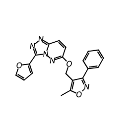 Cc1onc(-c2ccccc2)c1COc1ccc2nnc(-c3ccco3)n2n1